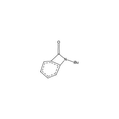 CCC(C)N1C(=O)c2ccccc21